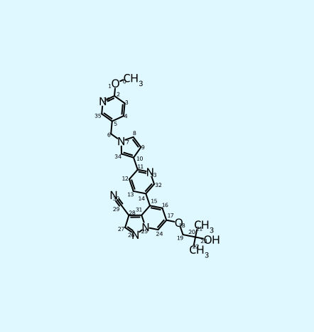 COc1ccc(Cn2ccc(-c3ccc(-c4cc(OCC(C)(C)O)cn5ncc(C#N)c45)cn3)c2)cn1